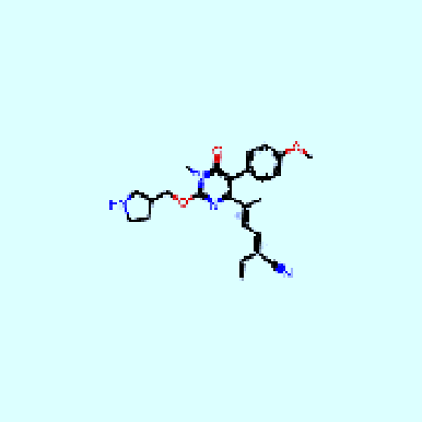 C=C/C(C#N)=C\C=C(/C)c1nc(OCC2CCNC2)n(C)c(=O)c1-c1ccc(OC)cc1